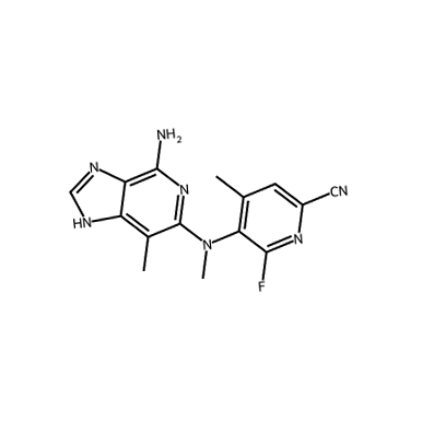 Cc1cc(C#N)nc(F)c1N(C)c1nc(N)c2nc[nH]c2c1C